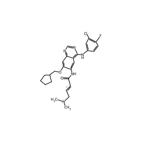 CN(C)C/C=C/C(=O)Nc1cc2c(Nc3ccc(F)c(Cl)c3)ncnc2cc1OCC1CCCC1